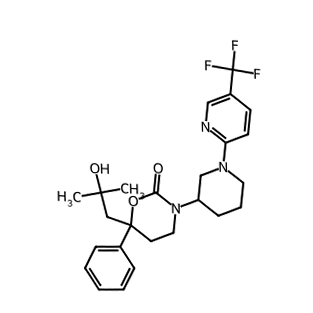 CC(C)(O)CC1(c2ccccc2)CCN(C2CCCN(c3ccc(C(F)(F)F)cn3)C2)C(=O)O1